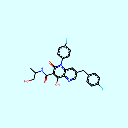 CC(CO)NC(=O)c1c(O)c2ncc(Cc3ccc(F)cc3)cc2n(-c2ccc(F)cc2)c1=O